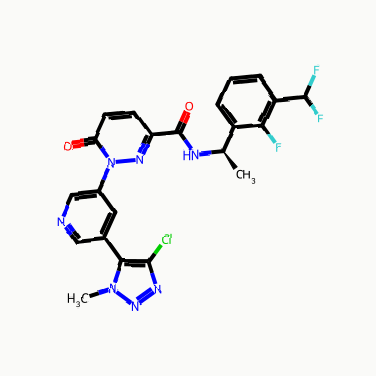 C[C@@H](NC(=O)c1ccc(=O)n(-c2cncc(-c3c(Cl)nnn3C)c2)n1)c1cccc(C(F)F)c1F